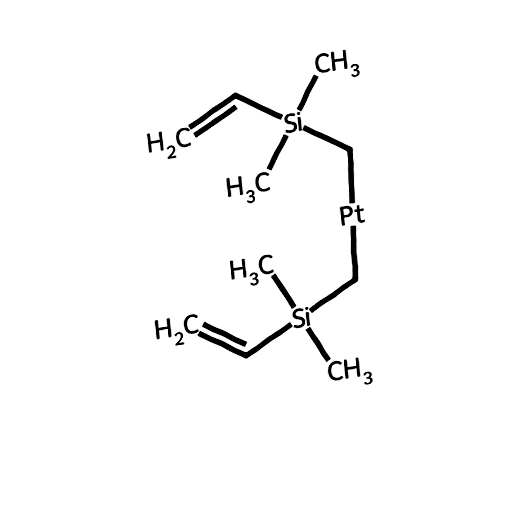 C=C[Si](C)(C)[CH2][Pt][CH2][Si](C)(C)C=C